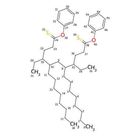 CCCCCCCCC(CC(CCCCCCCC)C(CC)CCC(=S)Oc1ccccc1)C(CC)CCC(=S)Oc1ccccc1